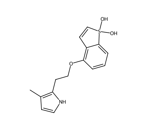 Cc1cc[nH]c1CCOc1cccc2c1C=CS2(O)O